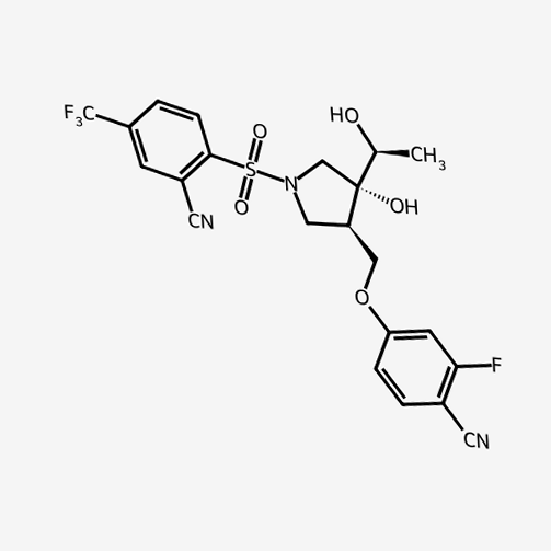 C[C@H](O)[C@]1(O)CN(S(=O)(=O)c2ccc(C(F)(F)F)cc2C#N)C[C@@H]1COc1ccc(C#N)c(F)c1